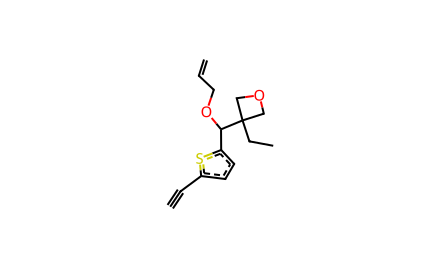 C#Cc1ccc(C(OCC=C)C2(CC)COC2)s1